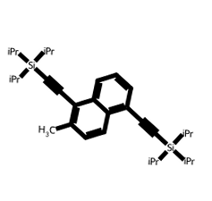 Cc1ccc2c(C#C[Si](C(C)C)(C(C)C)C(C)C)cccc2c1C#C[Si](C(C)C)(C(C)C)C(C)C